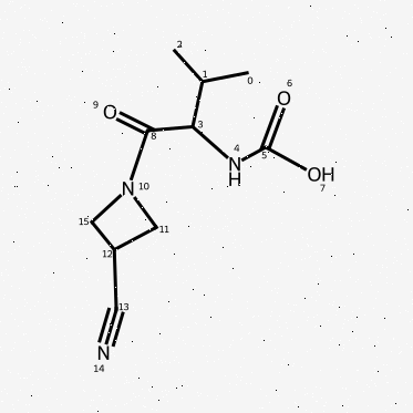 CC(C)C(NC(=O)O)C(=O)N1CC(C#N)C1